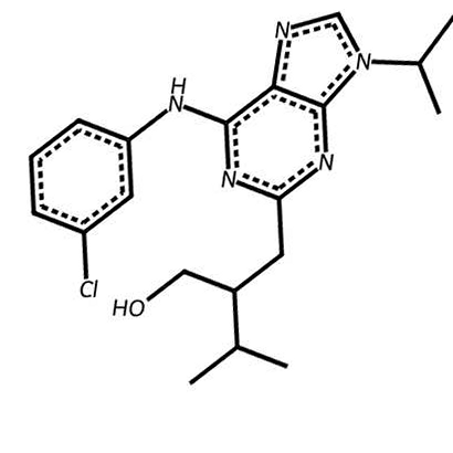 CC(C)C(CO)Cc1nc(Nc2cccc(Cl)c2)c2ncn(C(C)C)c2n1